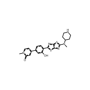 CN(c1nc2sc(-c3ccc(-c4ccn(C)c(=O)c4)cc3O)nc2s1)C1CCNCC1